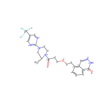 CC1CN(c2ncc(C(F)(F)F)cn2)CCN1C(=O)CCOCCc1cccc2c(=O)[nH]ncc12